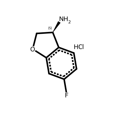 Cl.N[C@@H]1COc2cc(F)ccc21